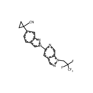 N#CC1(c2ccc3cn(-c4cc5cnn(CC(F)(F)C(F)(F)F)c5cn4)nc3c2)CC1